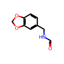 O=CNCc1ccc2c(c1)OCO2